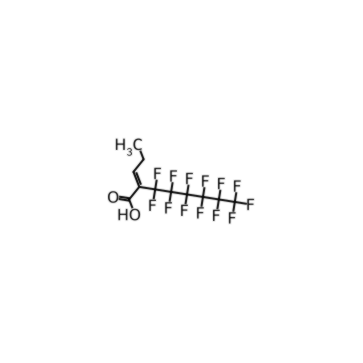 CCC=C(C(=O)O)C(F)(F)C(F)(F)C(F)(F)C(F)(F)C(F)(F)C(F)(F)F